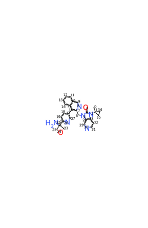 CC1(n2c(=O)n(Cc3ncc4ccccc4c3-c3ccc(C4(N)COC4)nc3)c3cnccc32)CC1